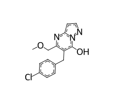 COCc1nc2ccnn2c(O)c1Cc1ccc(Cl)cc1